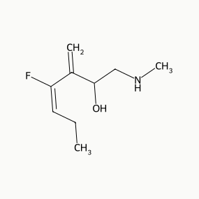 C=C(/C(F)=C\CC)C(O)CNC